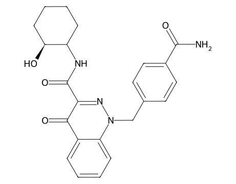 NC(=O)c1ccc(Cn2nc(C(=O)NC3CCCC[C@@H]3O)c(=O)c3ccccc32)cc1